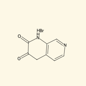 Br.O=C1Cc2ccncc2NC1=O